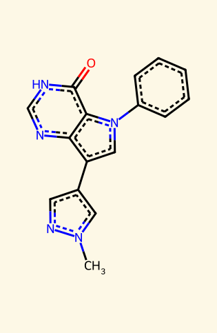 Cn1cc(-c2cn(-c3ccccc3)c3c(=O)[nH]cnc23)cn1